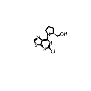 OC[C@@H]1CCCN1c1nc(Cl)nc2scnc12